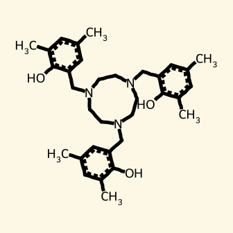 Cc1cc(C)c(O)c(CN2CCN(Cc3cc(C)cc(C)c3O)CCN(Cc3cc(C)cc(C)c3O)CC2)c1